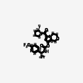 CC(C)[C@@H](NC(=O)Oc1cc(C(=O)N2CCC[C@@H]2C)n2c1COCC2)c1ccc(C(F)(F)F)nc1